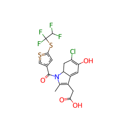 CC1=C(CC(=O)O)C2=CC(O)=C(Cl)CC2N1C(=O)c1csc(SC(F)(F)C(F)F)c1